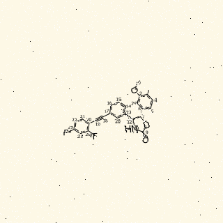 COc1cccc([C@@H]2OC(=O)N[C@H]2c2cccc(C#Cc3ccc(F)cc3F)c2)c1